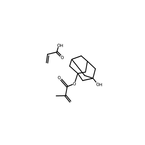 C=C(C)C(=O)OC12CC3CC(CC(O)(C3)C1)C2.C=CC(=O)O